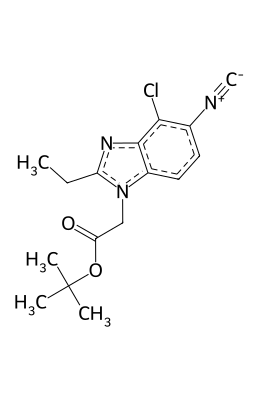 [C-]#[N+]c1ccc2c(nc(CC)n2CC(=O)OC(C)(C)C)c1Cl